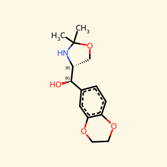 CC1(C)N[C@@H]([C@H](O)c2ccc3c(c2)OCCO3)CO1